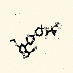 CCOc1cc(-c2ccc(N3CCC(C)(NC(=O)C4(OC(N)=O)CC4)CC3)nc2)c2c(C#N)cnn2c1